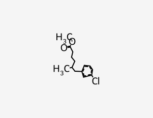 COC(=O)CCCC(C)Cc1cccc(Cl)c1